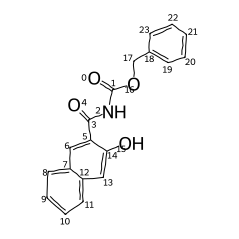 O=C(NC(=O)c1cc2ccccc2cc1O)OCc1ccccc1